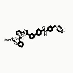 COC(=O)N[C@@H](C(=O)N1CCC[C@H]1c1ncc(-c2cccc(-c3ccc(C(=O)Nc4ccc(CN5CCS(=O)(=O)CC5)cc4)cc3)c2)[nH]1)c1ccccc1